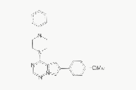 COc1ccc(-c2cc3c(N4CCN(c5ccccc5)CC4)ncnn3c2)cc1